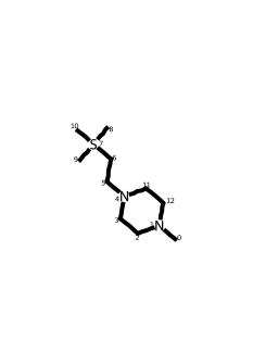 CN1CCN(CCS(C)(C)C)CC1